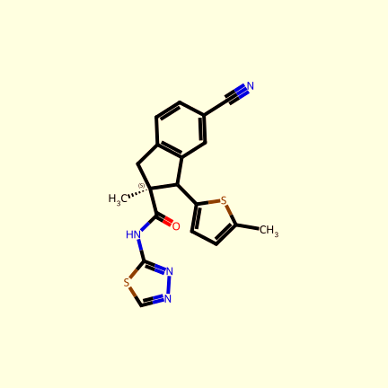 Cc1ccc(C2c3cc(C#N)ccc3C[C@]2(C)C(=O)Nc2nncs2)s1